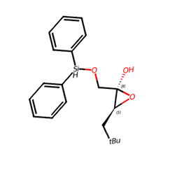 CC(C)(C)C[C@@H]1O[C@]1(O)CO[SiH](c1ccccc1)c1ccccc1